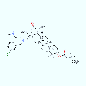 CC(=O)O[C@H](CN(CCN(C)C)Cc1cccc(Cl)c1)C12CC[C@]3(C)[C@H](CC[C@@H]4[C@@]5(C)CC[C@H](OC(=O)CC(C)(C)C(=O)O)C(C)(C)C5CC[C@]43C)C1=C(C(C)C)C(=O)C2